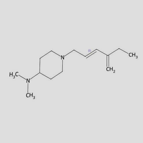 C=C(/C=C/CN1CCC(N(C)C)CC1)CC